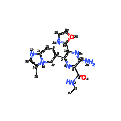 CCNC(=O)c1nc(-c2ccc3ncc(C)n3c2)c(-c2ncco2)nc1N